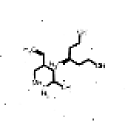 C=C(CCO)CCO.C=CC(CO)CC(C)C